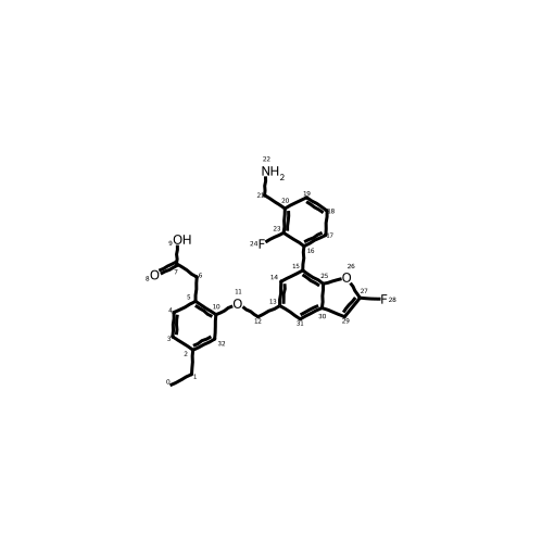 CCc1ccc(CC(=O)O)c(OCc2cc(-c3cccc(CN)c3F)c3oc(F)cc3c2)c1